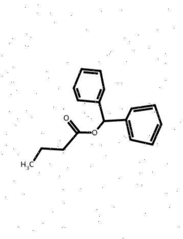 CC[CH]C(=O)OC(c1ccccc1)c1ccccc1